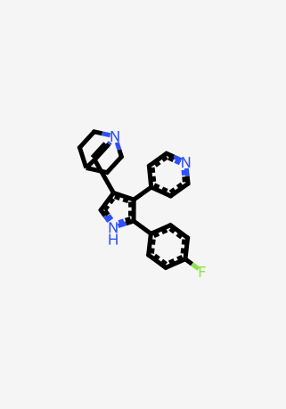 Fc1ccc(-c2[nH]cc(C3=CN4CCC3CC4)c2-c2ccncc2)cc1